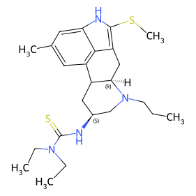 CCCN1C[C@@H](NC(=S)N(CC)CC)CC2c3cc(C)cc4[nH]c(SC)c(c34)C[C@H]21